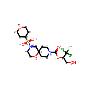 O=C(OC(CO)C(F)(F)F)N1CCC2(CC1)CN(S(=O)(=O)C1CCOCC1)CCO2